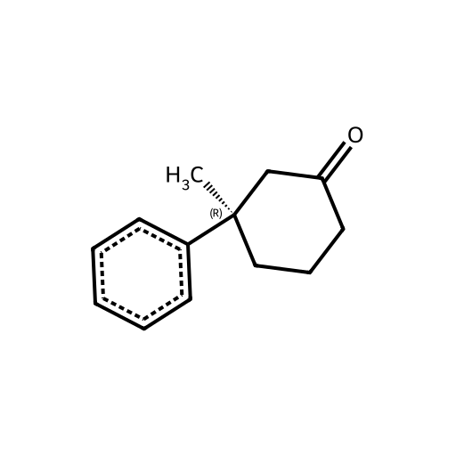 C[C@@]1(c2ccccc2)CCCC(=O)C1